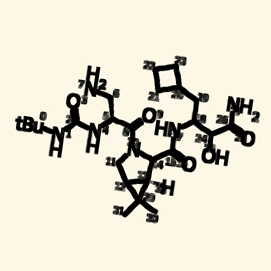 CC(C)(C)NC(=O)N[C@@H](CN)C(=O)N1CC2[C@@H](C1C(=O)NC(CC1CCC1)C(O)C(N)=O)C2(C)C